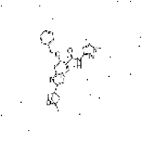 Cn1ccc(NC(=O)c2cn3cc(C45COC(C)(C4)C5)nc3cc2OCc2ccccc2)n1